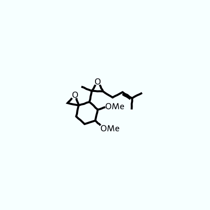 COC1CCC2(CO2)C(C2(C)OC2CC=C(C)C)C1OC